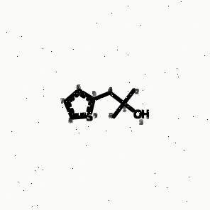 CC(C)(O)Cc1cccs1